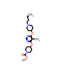 C=CCCN1CCC(Oc2ncnc(OC3CCN(C(=O)OC(C)C)CC3)c2C)CC1